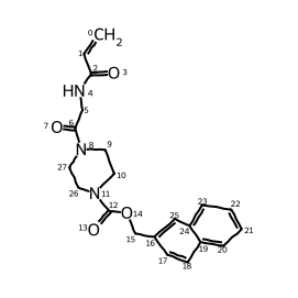 C=CC(=O)NCC(=O)N1CCN(C(=O)OCc2ccc3ccccc3c2)CC1